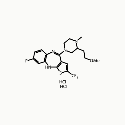 COCCC1CN(C2=Nc3ccc(F)cc3Nc3sc(C(F)(F)F)cc32)CCN1C.Cl.Cl